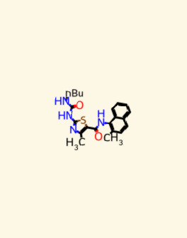 CCCCNC(=O)Nc1nc(C)c(C(=O)Nc2c(C)ccc3ccccc23)s1